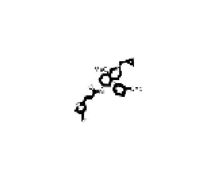 CO[C@]12CC[C@@H](NC(=O)/C=C/c3cc(Br)cs3)C[C@]1(c1cccc(OC(C)=O)c1)CCN(CC1CC1)C2